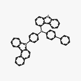 c1ccc(-c2ccc(N(c3ccc(-n4c5ccccc5c5c6ccccc6ccc54)cc3)c3cccc4sc5ccccc5c34)cc2)cc1